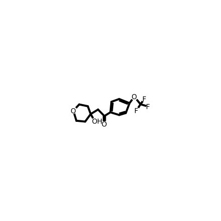 O=C(CC1(O)CCOCC1)c1ccc(OC(F)(F)F)cc1